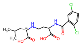 CC(C)C[C@H](NCCC(NC(=O)c1cc(Cl)ccc1Cl)C(=O)O)C(=O)O